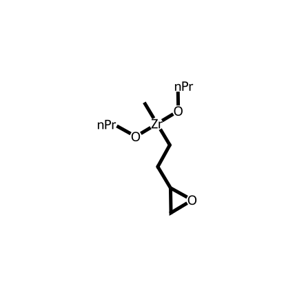 CCC[O][Zr]([CH3])([CH2]CC1CO1)[O]CCC